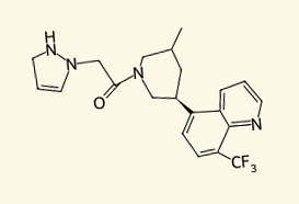 CC1C[C@@H](c2ccc(C(F)(F)F)c3ncccc23)CN(C(=O)CN2C=CCN2)C1